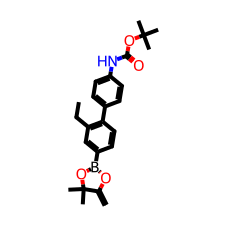 C=C1OB(c2ccc(-c3ccc(NC(=O)OC(C)(C)C)cc3)c(CC)c2)OC1(C)C